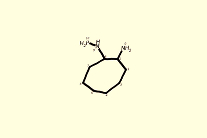 NC1CCCCCCC1NP